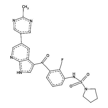 Cc1ncc(-c2cnc3[nH]cc(C(=O)c4cccc(NS(=O)(=O)N5CCCC5)c4F)c3c2)cn1